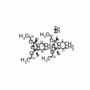 CCOP(=S)(OCC)OP(=S)(OCC)OCC.CCOP(=S)(OCC)OP(=S)(OCC)OCC.[Zn].[Zn]